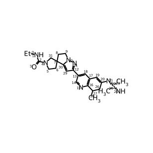 CCNC(=O)N1CCC2(CCn3nc(-c4cnc5c(c4)C=C(N=S(C)(C)=N)CC5C)cc32)C1